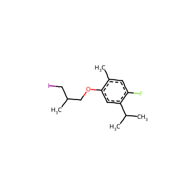 Cc1cc(F)c(C(C)C)cc1OCC(C)CI